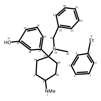 CCc1ccccc1.CNC1CCC(c2cccc(O)c2)(N(C)Cc2ccccc2)CC1